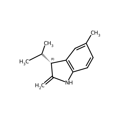 C=C1Nc2ccc(C)cc2[C@H]1C(C)C